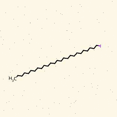 CCCCCCCCCCCCCCCCCCCCCCCCCCI